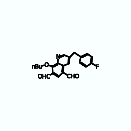 CCCCOc1c(C=O)cc(C=O)c2cc(Cc3ccc(F)cc3)cnc12